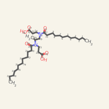 CCCCCCCCCCCC(=O)N(CCC(=O)O)CC(C)N(CCC(=O)O)C(=O)CCCCCCCCCCC